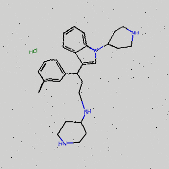 Cc1cccc(C(CCNC2CCNCC2)c2cn(C3CCNCC3)c3ccccc23)c1.Cl